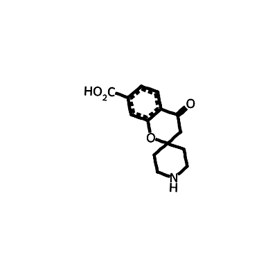 O=C(O)c1ccc2c(c1)OC1(CCNCC1)CC2=O